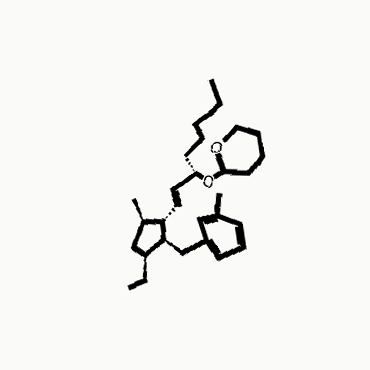 CCCCC[C@@H](/C=C/[C@@H]1[C@@H](Cc2cccc(C)c2)[C@@H](CC)C[C@H]1C)OC1CCCCO1